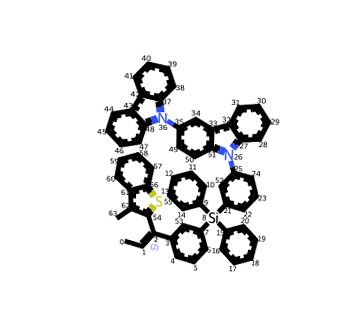 C/C=C(/c1cccc([Si](c2ccccc2)(c2ccccc2)c2cccc(-n3c4ccccc4c4cc(-n5c6ccccc6c6ccccc65)ccc43)c2)c1)c1sc2ccccc2c1C